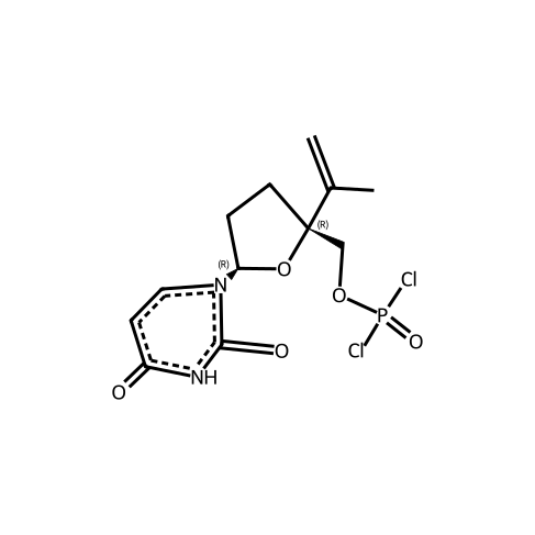 C=C(C)[C@@]1(COP(=O)(Cl)Cl)CC[C@H](n2ccc(=O)[nH]c2=O)O1